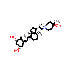 C=C1/C(=C\C=C2/CCC[C@]3(C)[C@@H](C(C)CN4CCC(C)(O)CC4)CC[C@@H]23)C[C@@H](O)C[C@@H]1O